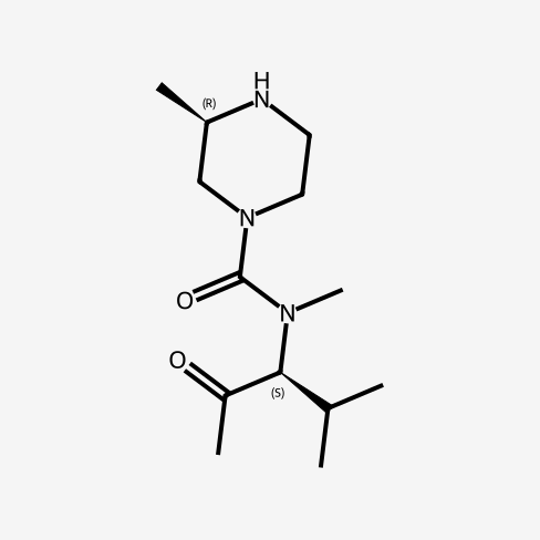 CC(=O)[C@H](C(C)C)N(C)C(=O)N1CCN[C@H](C)C1